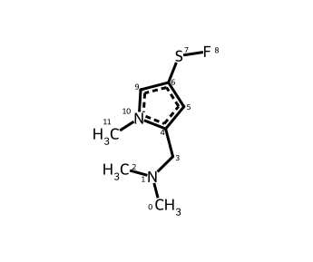 CN(C)Cc1cc(SF)cn1C